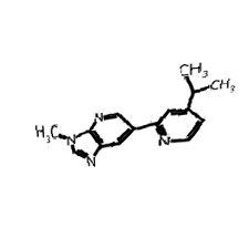 CC(C)c1ccnc(-c2cnc3c(c2)ncn3C)c1